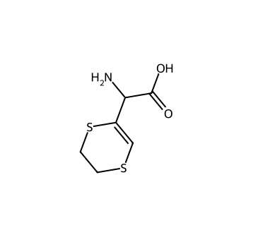 NC(C(=O)O)C1=CSCCS1